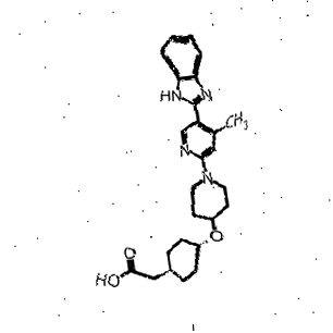 Cc1cc(N2CCC(O[C@H]3CC[C@H](CC(=O)O)CC3)CC2)ncc1-c1nc2ccccc2[nH]1